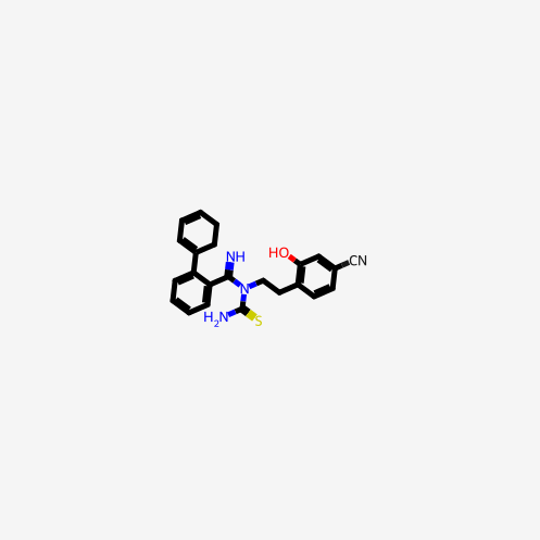 N#Cc1ccc(CCN(C(=N)c2ccccc2C2=CC=CCC2)C(N)=S)c(O)c1